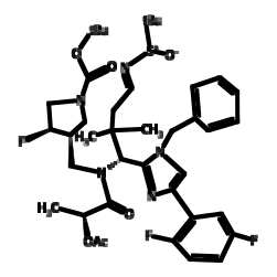 CC(=O)O[C@@H](C)C(=O)N(C[C@@H]1CN(C(=O)OC(C)(C)C)C[C@@H]1F)[C@@H](c1nc(-c2cc(F)ccc2F)cn1Cc1ccccc1)C(C)(C)C/C=N/[S+]([O-])C(C)(C)C